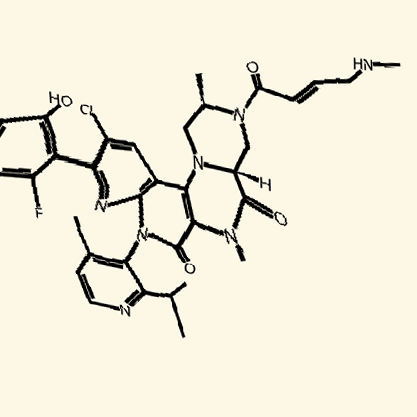 CNC/C=C/C(=O)N1C[C@@H]2C(=O)N(C)c3c(c4cc(Cl)c(-c5c(O)cccc5F)nc4n(-c4c(C)ccnc4C(C)C)c3=O)N2C[C@H]1C